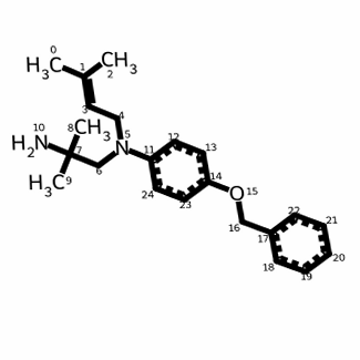 CC(C)=CCN(CC(C)(C)N)c1ccc(OCc2ccccc2)cc1